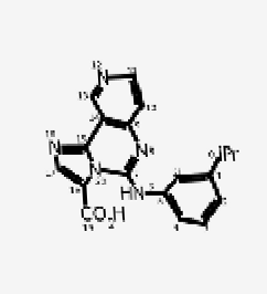 CC(C)c1cccc(Nc2nc3ccncc3c3ncc(C(=O)O)n23)c1